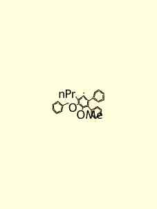 CCCc1[c]c(-c2ccccc2)c(-c2ccccc2)c(OC)c1OCc1ccccc1